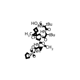 C=C[C@@H]1C[C@]1(NC(=O)[C@@H]1C[C@@]2(CN1C(=O)[C@@H](NC(=O)[C@@H](NC(=O)O)C(C)(C)C)C(C)(C)C)C(C)(C)C21CCC1)C(=O)NS(=O)(=O)N1CCCC1